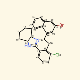 Clc1cccc(C2=NC3CCCCC3N2)c1CCc1cc(Br)cc2ccccc12